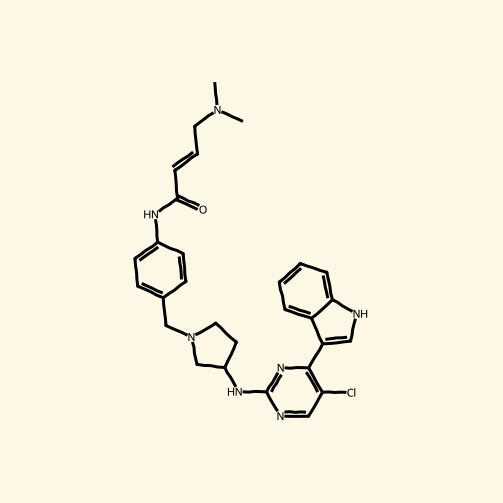 CN(C)C/C=C/C(=O)Nc1ccc(CN2CCC(Nc3ncc(Cl)c(-c4c[nH]c5ccccc45)n3)C2)cc1